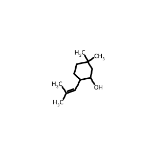 CC(C)=CC1CCC(C)(C)CC1O